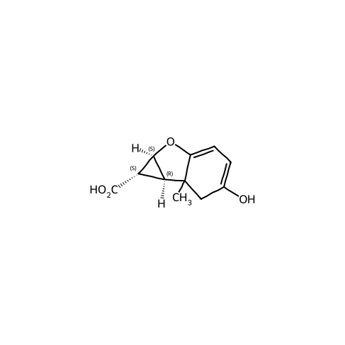 CC12CC(O)=CC=C1O[C@@H]1[C@@H](C(=O)O)[C@@H]12